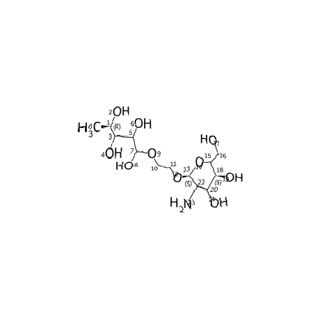 C[C@@H](O)C(O)C(O)C(O)OCCO[C@H]1OC(CO)[C@@H](O)C(O)C1N